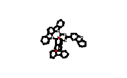 c1ccc(-c2nc(-c3ccc4oc5ccccc5c4c3)nc(-n3c4ccccc4c4ccc5c6ccccc6n(-c6cccc(-n7c8ccccc8c8ccccc87)c6)c5c43)n2)cc1